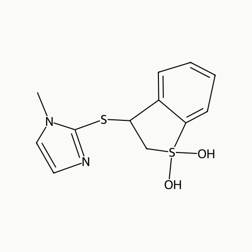 Cn1ccnc1SC1CS(O)(O)c2ccccc21